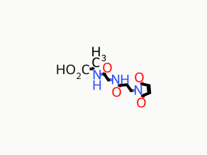 CC(NC(=O)CNC(=O)CCN1C(=O)C=CC1=O)C(=O)O